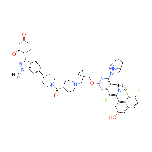 C#Cc1c(F)ccc2cc(O)cc(-c3ncc4c(N5CC6CCC(C5)N6)nc(OCC5(CN6CCC(C(=O)N7CCC(c8ccc9c(C%10CCC(=O)CC%10=O)nn(C)c9c8)CC7)CC6)CC5)nc4c3F)c12